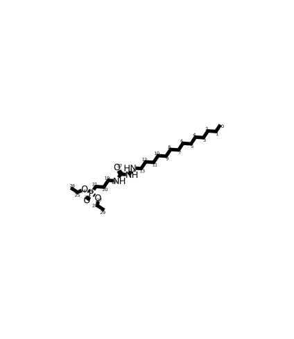 CCCCCCCCCCCCCCNNC(=O)NCCCP(=O)(OCC)OCC